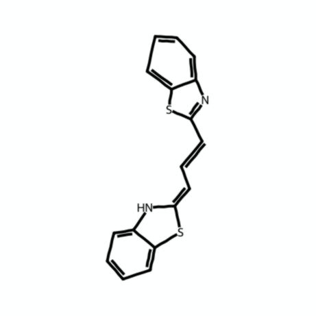 C(=Cc1nc2ccccc2s1)C=C1Nc2ccccc2S1